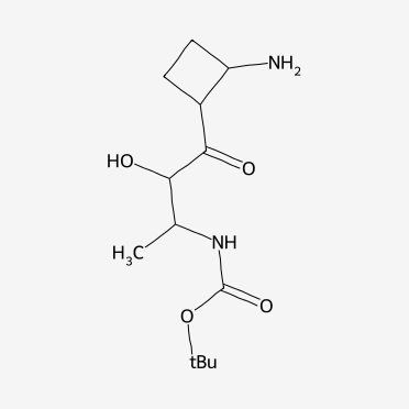 CC(NC(=O)OC(C)(C)C)C(O)C(=O)C1CCC1N